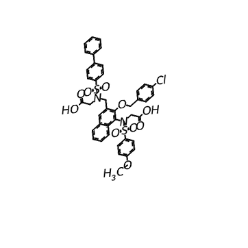 COc1ccc(S(=O)(=O)N(CC(=O)O)c2c(OCc3ccc(Cl)cc3)c(CN(CC(=O)O)S(=O)(=O)c3ccc(-c4ccccc4)cc3)cc3ccccc23)cc1